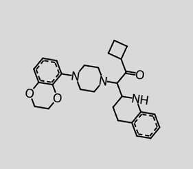 O=C(C1CCC1)C(C1CCc2ccccc2N1)N1CCN(c2cccc3c2OCCO3)CC1